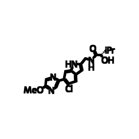 COc1cnc(-c2cc3[nH]c(CNC(=O)[C@@H](O)C(C)C)cc3cc2Cl)cn1